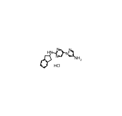 Cl.Nc1cnn(-c2cnc(NC3Cc4ccccc4C3)nc2)c1